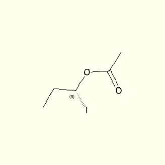 CC[C@@H](I)OC(C)=O